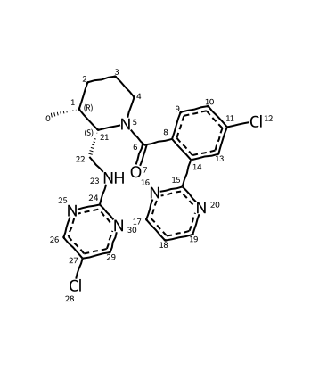 C[C@@H]1CCCN(C(=O)c2ccc(Cl)cc2-c2ncccn2)[C@@H]1CNc1ncc(Cl)cn1